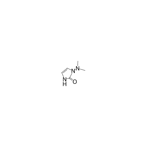 CN(C)n1cc[nH]c1=O